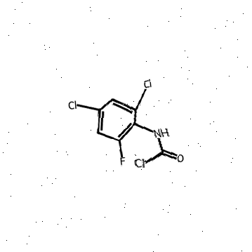 O=C(Cl)Nc1c(F)cc(Cl)cc1Cl